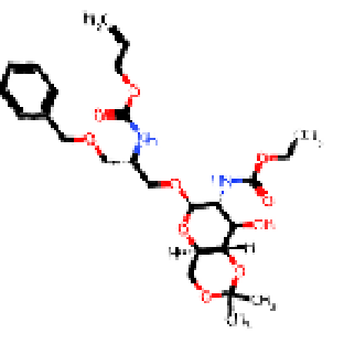 C=CCOC(=O)N[C@@H](COCc1ccccc1)CO[C@@H]1O[C@@H]2COC(C)(C)O[C@H]2[C@H](O)[C@H]1NC(=O)OCC(Cl)(Cl)Cl